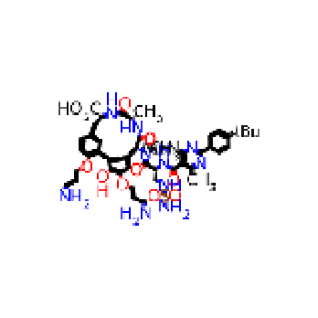 CNc1nc(-c2ccc(C(C)(C)C)cc2)nc(C)c1C(=O)N[C@@H](CNS(N)(=O)=O)C(=O)N(C)[C@@H]1C(=O)N[C@@H](C)C(=O)N[C@H](C(=O)O)Cc2ccc(OCCCN)c(c2)-c2cc1cc(OCCCN)c2O